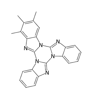 Cc1cc2c(nc3n4c5ccccc5nc4n4c5ccccc5nc4n23)c(C)c1C